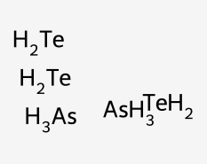 [AsH3].[AsH3].[TeH2].[TeH2].[TeH2]